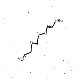 CCCCC=COCCOCCO